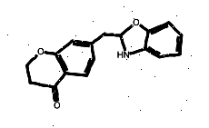 O=C1CCOc2cc(CC3Nc4ccccc4O3)ccc21